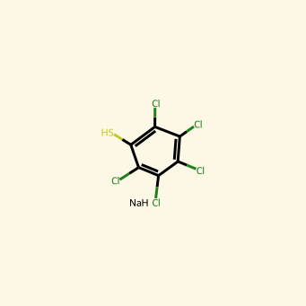 Sc1c(Cl)c(Cl)c(Cl)c(Cl)c1Cl.[NaH]